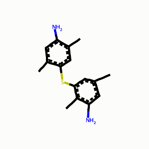 Cc1cc(N)c(C)c(Sc2cc(C)c(N)cc2C)c1